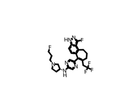 FCCCN1CC[C@@H](Nc2cnc(C3=C(CC(F)(F)F)CCCc4c3ccc3[nH]nc(F)c43)cn2)C1